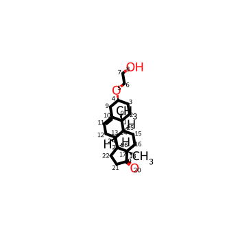 C[C@]12CC[C@H](OCCO)CC1=CC[C@@H]1[C@@H]2CC[C@]2(C)C(=O)CC[C@@H]12